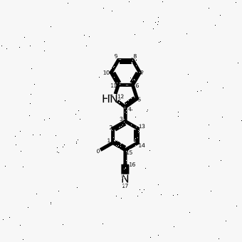 Cc1cc(-c2cc3c[c]ccc3[nH]2)ccc1C#N